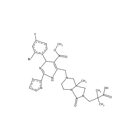 COC(=O)C1=C(CN2CCN3C(=O)N(CC(C)(C)C(=O)O)CC3(C)C2)NC(c2nccs2)=NC1c1ccc(F)cc1Br